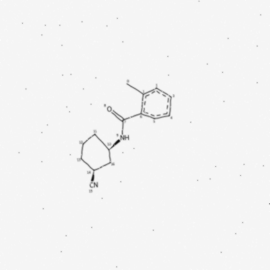 Cc1ccccc1C(=O)N[C@@H]1CCC[C@H](C#N)C1